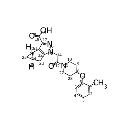 Cc1ccccc1OC1CCN(C(=O)Cn2nc(C(=O)O)c3c2C[C@H]2C[C@@H]32)CC1